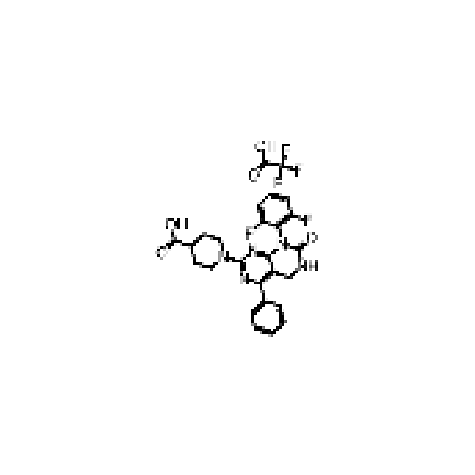 O=C(O)C(F)(F)F.O=C(O)C1CCN(c2nc(-c3ccccc3)c3c(n2)N(c2c(F)cccc2F)C(=O)NC3)CC1